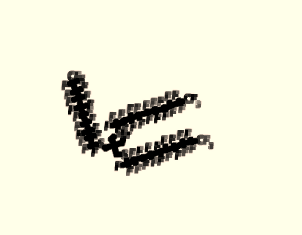 FC(F)(F)C(F)(F)C(F)(F)C(F)(F)C(F)(F)C(F)(F)C(F)(F)C(F)(F)C(F)(F)C(F)(F)SCC(CBr)(CSC(F)(F)C(F)(F)C(F)(F)C(F)(F)C(F)(F)C(F)(F)C(F)(F)C(F)(F)C(F)(F)C(F)(F)F)CSC(F)(F)C(F)(F)C(F)(F)C(F)(F)C(F)(F)C(F)(F)C(F)(F)C(F)(F)C(F)(F)C(F)(F)F